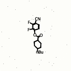 CCCCC1CCC(C(=O)Oc2ccc(C#N)c(F)c2F)CC1